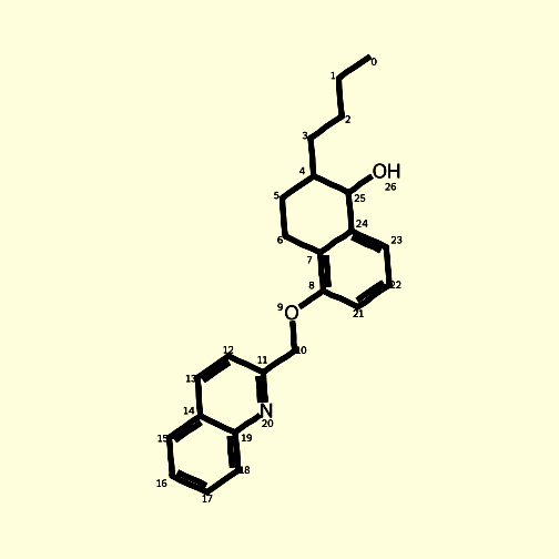 CCCCC1CCc2c(OCc3ccc4ccccc4n3)cccc2C1O